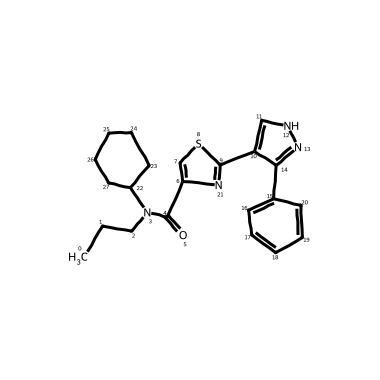 CCCN(C(=O)c1csc(-c2c[nH]nc2-c2ccccc2)n1)C1CCCCC1